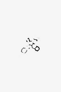 CC(C(N)=O)N(C(=O)C(Cc1ccccc1)CS(=O)(=O)N1CCCN(C)CC1)c1cscn1